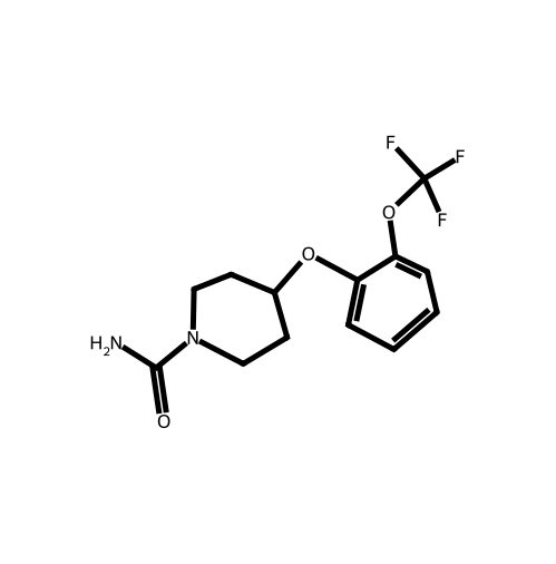 NC(=O)N1CCC(Oc2ccccc2OC(F)(F)F)CC1